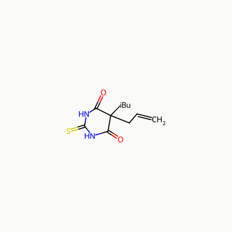 C=CCC1(C(C)CC)C(=O)NC(=S)NC1=O